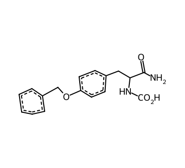 NC(=O)C(Cc1ccc(OCc2ccccc2)cc1)NC(=O)O